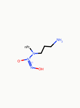 CCCN(CCCN)/[N+]([O-])=N\O